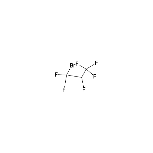 FC(C(F)(F)F)C(F)(F)Br